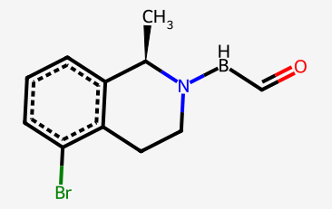 C[C@@H]1c2cccc(Br)c2CCN1BC=O